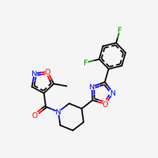 Cc1oncc1C(=O)N1CCCC(c2nc(-c3ccc(F)cc3F)no2)C1